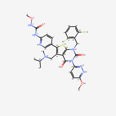 CONC(=O)Nc1ccc(-c2sc3c(c2CN(C)C(C)C)c(=O)n(-c2ccc(OC)nn2)c(=O)n3Cc2c(F)cccc2F)cn1